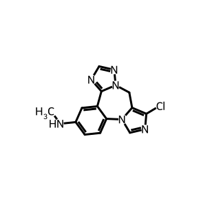 CNc1ccc2c(c1)-c1ncnn1Cc1c(Cl)ncn1-2